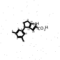 Cc1cc(C)cc(C2CCc3[nH]c(C(=O)O)cc32)c1